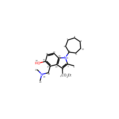 CCOC(=O)c1c(C)n(C2CCCCCC2)c2ccc(O)c(CN(C)C)c12